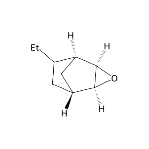 CCC1C[C@@H]2C[C@@H]1[C@H]1O[C@@H]21